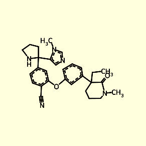 CCC1(c2cccc(Oc3cc(C4(c5cncn5C)CCCN4)ccc3C#N)c2)CCCN(C)C1=O